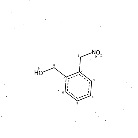 O=[N+]([O-])Cc1ccccc1CO